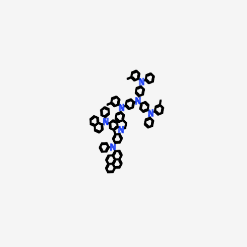 Cc1cccc(N(c2ccccc2)c2ccc(N(c3ccc(N(c4ccccc4)c4cccc(C)c4)cc3)c3ccc(N(c4cccc(C)c4)c4cccc(CCn5c6ccc(N(c7ccccc7)c7cccc8ccccc78)cc6c6cc(N(c7ccccc7)c7ccc8ccc9cccc%10ccc7c8c9%10)ccc65)c4)cc3)cc2)c1